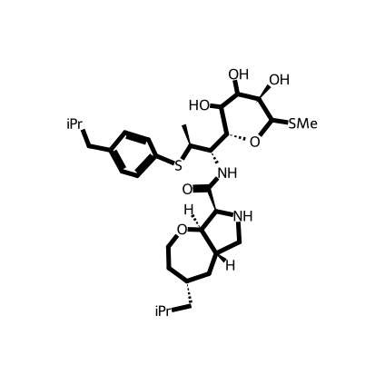 CSC1O[C@H]([C@H](NC(=O)[C@H]2NC[C@@H]3C[C@H](CC(C)C)CCO[C@H]32)[C@H](C)Sc2ccc(CC(C)C)cc2)C(O)C(O)[C@H]1O